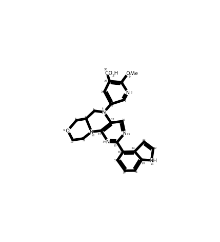 COc1ncc(N2CC3COCCN3c3nc(-c4cccc5[nH]ccc45)ncc32)cc1C(=O)O